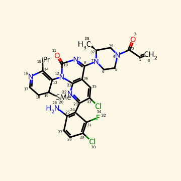 C=CC(=O)N1CCN(c2nc(=O)n(C3=C(C(C)C)N=CCC3SC)c3nc(-c4c(N)ccc(Cl)c4F)c(Cl)cc23)[C@@H](C)C1